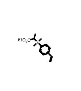 C=Cc1ccc(S(C)(C)C(C)C(=O)OCC)cc1